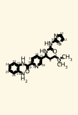 CN(C)CCC(NC(=O)Nc1nccs1)c1ccc(C(=O)Nc2ccccc2N)nc1